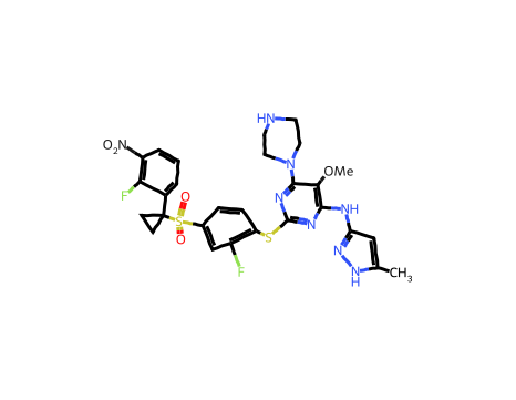 COc1c(Nc2cc(C)[nH]n2)nc(Sc2ccc(S(=O)(=O)C3(c4cccc([N+](=O)[O-])c4F)CC3)cc2F)nc1N1CCNCC1